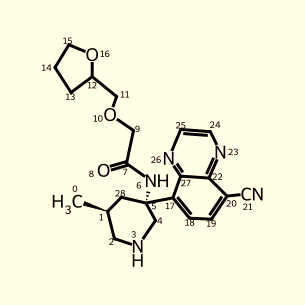 C[C@@H]1CNC[C@](NC(=O)COCC2CCCO2)(c2ccc(C#N)c3nccnc23)C1